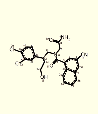 N#Cc1cc(C(=O)N(CC(N)=O)C[C@@H](CCO)c2ccc(Cl)c(Cl)c2)c2ccccc2c1